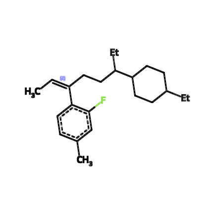 C/C=C(/CCC(CC)C1CCC(CC)CC1)c1ccc(C)cc1F